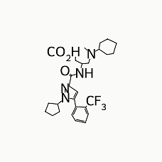 CN(CC(CC(=O)O)NC(=O)c1cc(-c2ccccc2C(F)(F)F)n(C2CCCC2)n1)C1CCCCC1